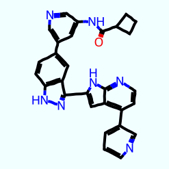 O=C(Nc1cncc(-c2ccc3[nH]nc(-c4cc5c(-c6cccnc6)ccnc5[nH]4)c3c2)c1)C1CCC1